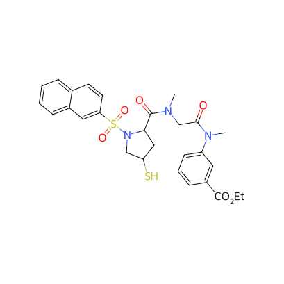 CCOC(=O)c1cccc(N(C)C(=O)CN(C)C(=O)C2CC(S)CN2S(=O)(=O)c2ccc3ccccc3c2)c1